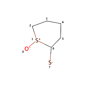 [O-][S+]1CCCCC1[S]